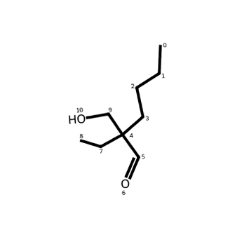 CCCCC(C=O)(CC)CO